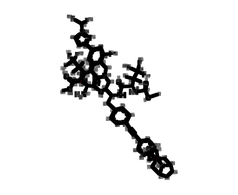 COC(=O)N[C@H](C(=O)N[C@@H](Cc1ccc(C#Cc2cnc(N3CC4CCC(C3)N4C3COC3)nc2)cc1)[C@H](CN(Cc1c(F)cc(-c2ccn(C(F)F)n2)cc1F)NC(=O)[C@@H](NC(=O)OC)C(C)(C)C(F)(F)F)OC(=O)[C@@H](N)C(C)C)C(C)(C)C(F)(F)F